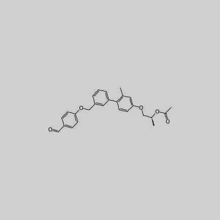 CC(=O)O[C@@H](C)COc1ccc(-c2cccc(COc3ccc(C=O)cc3)c2)c(C)c1